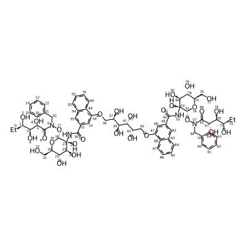 CC[C@@H](O)[C@H](O)[C@H](O)C(=O)N(Cc1ccccc1)O[C@H]1O[C@H](CO)[C@@H](O)[C@H](O)[C@@]1(O)NC(=O)c1cc(OC[C@@H](O)[C@H](O)[C@H](O)[C@@H](O)COc2cc(C(=O)N[C@@]3(O)[C@@H](ON(Cc4ccccc4)C(=O)[C@@H](O)[C@@H](O)[C@H](O)CC)O[C@H](CO)[C@@H](O)[C@@H]3O)cc3ccccc23)c2ccccc2c1